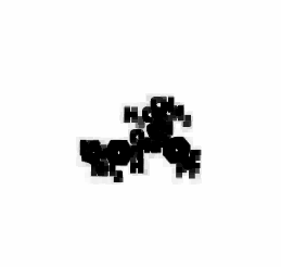 CC(C)(C)c1cc(NC(=O)Nc2ccc(-n3cncc3N)cc2)n(-c2ccc(C(F)(F)F)cc2)n1